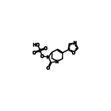 O=C1N2CC(c3cnco3)=CC(C2)N1OS(=O)(=O)O